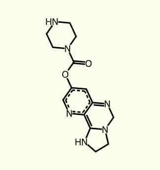 O=C(Oc1cnc2c(c1)=NCN1CCNC=21)N1CCNCC1